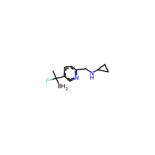 BC(C)(F)c1ccc(CNC2CC2)nc1